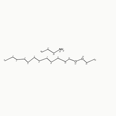 CCCCCCCCCCCCOOCC.CCCN